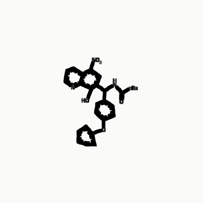 CCCCC(=O)NC(c1ccc(Oc2ccccc2)cc1)c1cc([N+](=O)[O-])c2cccnc2c1O